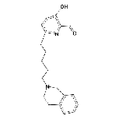 O=Cc1nc(CCCCCN2CCc3ccccc3C2)ccc1O